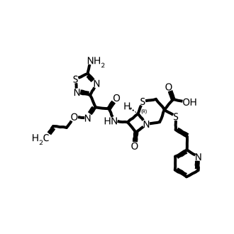 C=CCON=C(C(=O)NC1C(=O)N2CC(SC=Cc3ccccn3)(C(=O)O)CS[C@H]12)c1nsc(N)n1